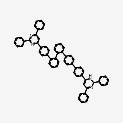 C1=C(c2ccc(-c3ccc(-c4ccccc4-c4ccccc4-c4ccc(-c5cc(-c6ccccc6)nc(-c6ccccc6)n5)cc4)cc3)cc2)NC(c2ccccc2)N=C1c1ccccc1